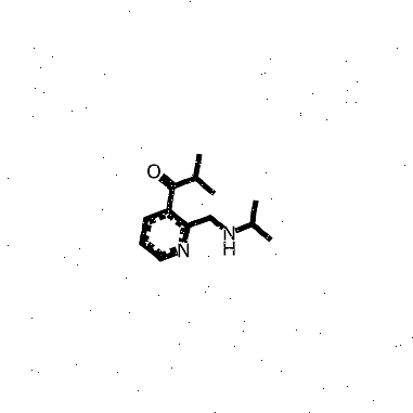 CC(C)NCc1ncccc1C(=O)C(C)C